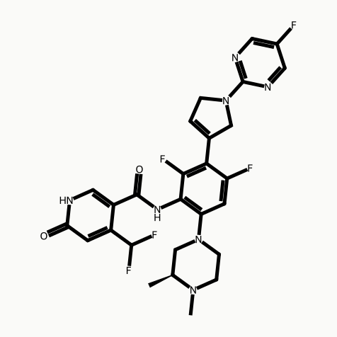 C[C@H]1CN(c2cc(F)c(C3=CCN(c4ncc(F)cn4)C3)c(F)c2NC(=O)c2c[nH]c(=O)cc2C(F)F)CCN1C